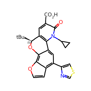 CC(C)(C)[C@@H]1Oc2c(cc(-c3cscn3)c3ccoc23)-c2c1cc(C(=O)O)c(=O)n2C1CC1